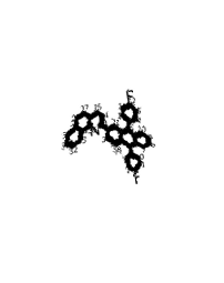 Fc1ccc(-c2c3ccccc3c(-c3ccc(F)cc3)c3cc(-c4ccc5ccc6ccccc6c5n4)ccc23)cc1